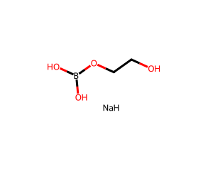 OCCOB(O)O.[NaH]